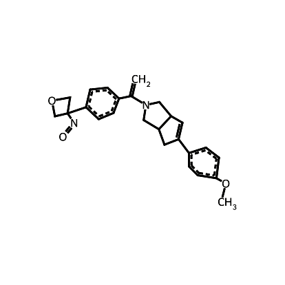 C=C(c1ccc(C2(N=O)COC2)cc1)N1CC2C=C(c3ccc(OC)cc3)CC2C1